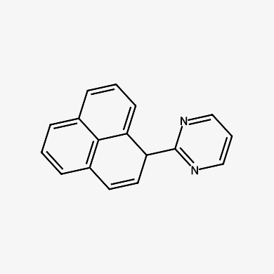 C1=CC(c2ncccn2)c2cccc3cccc1c23